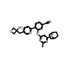 Cc1nc(Oc2cc(C#N)ccc2-c2ccc(CC3(N)COC3)cn2)cc(N2C3CCC2CC3)n1